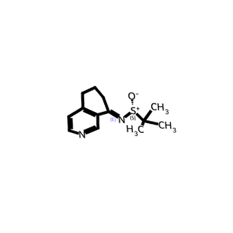 CC(C)(C)[S@@+]([O-])/N=C1\CCCc2ccncc21